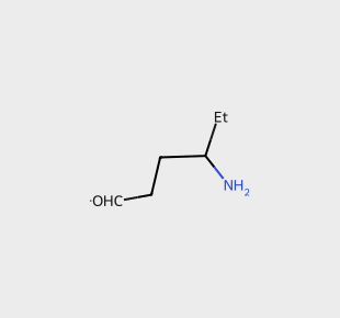 CCC(N)CC[C]=O